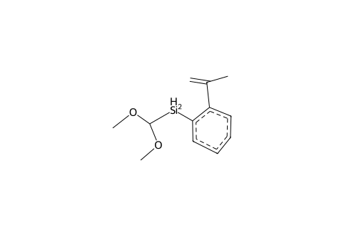 C=C(C)c1ccccc1[SiH2]C(OC)OC